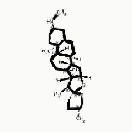 CN[C@H]1CC[C@@]2(C)C(=CC[C@H]3[C@@H]4C[C@@H]5O[C@]6(CC[C@@H](C)CO6)[C@@H](C)[C@@H]5[C@@]4(C)CC[C@@H]32)C1